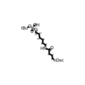 CCCCCCCCCCCCCC(=O)NCCCCCCOP(=O)(O)OC(C)(C)C